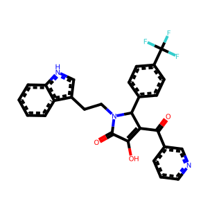 O=C(C1=C(O)C(=O)N(CCc2c[nH]c3ccccc23)C1c1ccc(C(F)(F)F)cc1)c1cccnc1